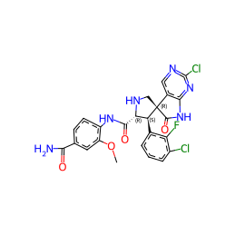 COc1cc(C(N)=O)ccc1NC(=O)[C@@H]1NC[C@@]2(C(=O)Nc3nc(Cl)ncc32)[C@H]1c1cccc(Cl)c1F